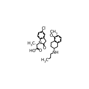 CCCN[C@H]1CCc2c(cccc2OC)C1.C[C@@H](C(=O)O)N1C(=O)Cc2cc(Cl)ccc21